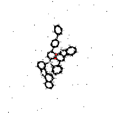 c1ccc(-c2ccc(-c3ccc(N(c4ccccc4-c4ccc5sc6ccccc6c5c4)c4cccc5oc6c7ccccc7ccc6c45)cc3)cc2)cc1